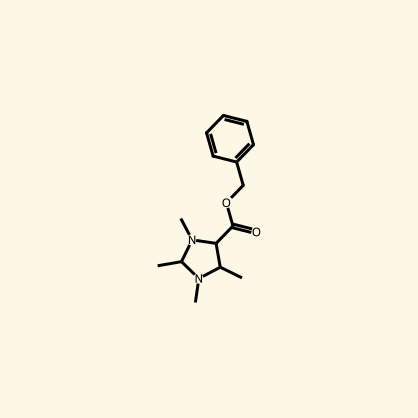 CC1C(C(=O)OCc2ccccc2)N(C)C(C)N1C